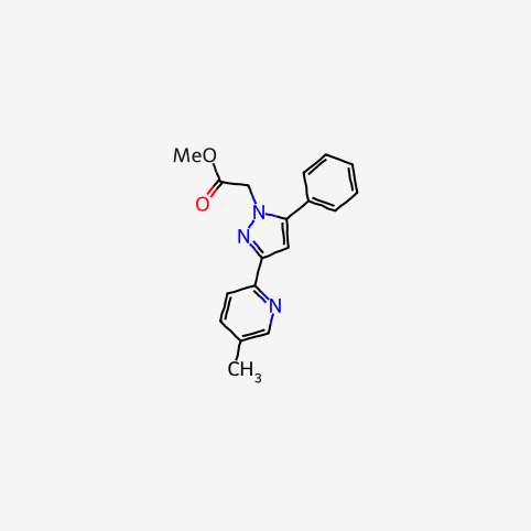 COC(=O)Cn1nc(-c2ccc(C)cn2)cc1-c1ccccc1